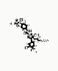 CSCCCC1(C)CN(C(=O)Nc2ccc(N(C)S(C)(=O)=O)cc2)N=C1c1ccc(C(F)(F)F)c(Cl)c1